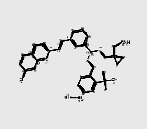 CC(C)(O)c1ccccc1CC[C@@H](SCC1(CC(=O)O)CC1)c1cccc(/C=C/c2ccc3ccc(Cl)cc3n2)c1.CCCN